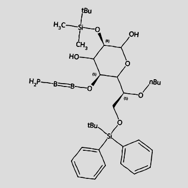 CCCCO[C@@H](CO[Si](c1ccccc1)(c1ccccc1)C(C)(C)C)C1OC(O)[C@H](O[Si](C)(C)C(C)(C)C)C(O)[C@@H]1OB=BP